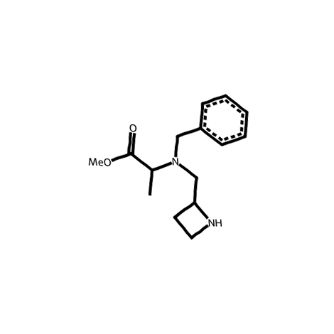 COC(=O)C(C)N(Cc1ccccc1)CC1CCN1